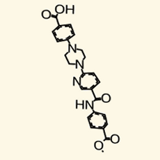 COC(=O)c1ccc(NC(=O)c2ccc(N3CCN(c4ccc(C(=O)O)cc4)CC3)nc2)cc1